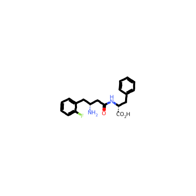 N[C@@H](CC(=O)N[C@H](Cc1ccccc1)C(=O)O)Cc1ccccc1F